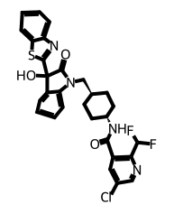 O=C(N[C@H]1CC[C@H](CN2C(=O)C(O)(c3nc4ccccc4s3)c3ccccc32)CC1)c1cc(Cl)cnc1C(F)F